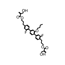 C=C(CO)C(=O)OCCCc1ccc(-c2ccc(-c3ccc(CCCOC(=O)C(=C)CO)c(F)c3)c(OCCCC)c2)c(F)c1